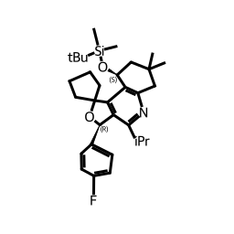 CC(C)c1nc2c(c3c1[C@@H](c1ccc(F)cc1)OC31CCCC1)[C@@H](O[Si](C)(C)C(C)(C)C)CC(C)(C)C2